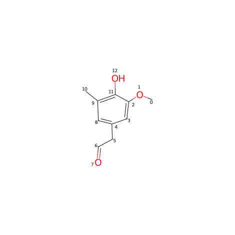 COc1cc(CC=O)cc(C)c1O